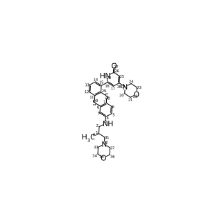 CC(CNc1ccc2c(c1)Sc1cccc(-c3cc(N4CCOCC4)cc(=O)[nH]3)c1S2)CN1CCOCC1